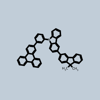 CC1(C)c2ccccc2-c2cc(-c3ccc4c(c3)c3ccccc3n4-c3cccc(-c4ccc5c6ccccc6c6ccccc6c5c4)c3)ccc21